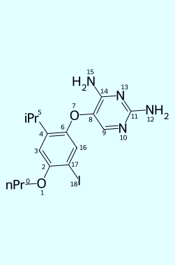 CCCOc1cc(C(C)C)c(Oc2cnc(N)nc2N)cc1I